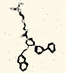 O=C(OCCOCCON(O)O)N1CC[C@H](c2cccc(-c3ccccc3)c2)[C@@H](OCc2ccc3ccccc3c2)C1